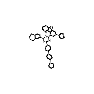 C1=Cc2ccc(C3=NC(c4ccc(-c5ccc(-c6ccccc6)cc5)cc4)=NC(c4cc(-c5ccccc5)cc5oc6ccccc6c45)N3)cc2CC1